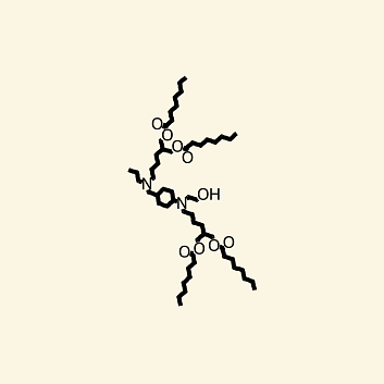 CCCCCCCC(=O)OCC(CCCCN(CCC)CC1CCC(N(CCO)CCCCC(COC(=O)CCCCCCC)COC(=O)CCCCCCC)CC1)COC(=O)CCCCCCC